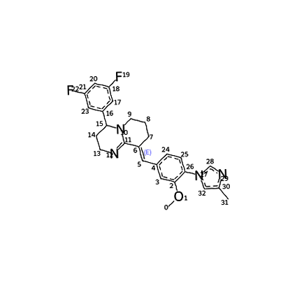 COc1cc(/C=C2\CCCN3C2=NCCC3c2cc(F)cc(F)c2)ccc1-n1cnc(C)c1